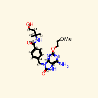 COCCOc1nc(N)c2[nH]c(=O)n(Cc3ccc(C(=O)NC(C)(C)CCO)cc3)c2n1